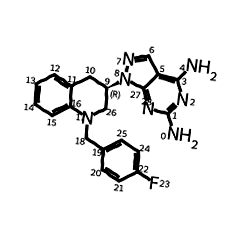 Nc1nc(N)c2cnn([C@@H]3Cc4ccccc4N(Cc4ccc(F)cc4)C3)c2n1